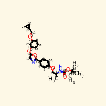 CC(COc1ccc(-c2ncc(Oc3cccc(OCC4CC4)c3)o2)cc1)NC(=O)OC(C)(C)C